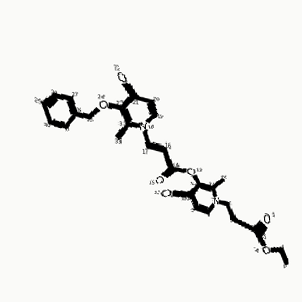 CCOC(=O)CCn1ccc(=O)c(OC(=O)CCn2ccc(=O)c(OCc3ccccc3)c2C)c1C